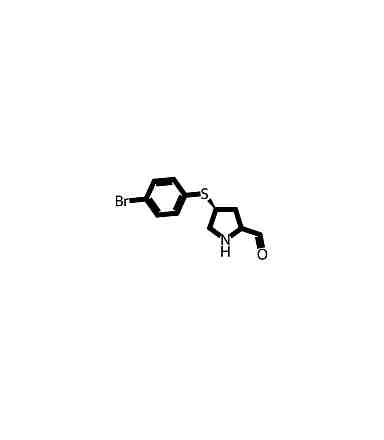 O=CC1C[C@H](Sc2ccc(Br)cc2)CN1